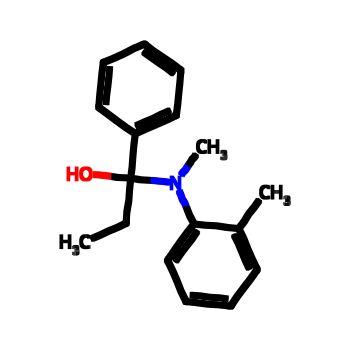 CCC(O)(c1ccccc1)N(C)c1ccccc1C